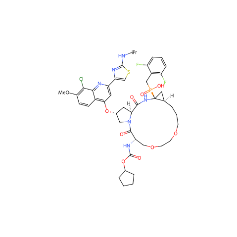 COc1ccc2c(O[C@@H]3C[C@H]4C(=O)N[C@]5(P(=O)(O)Cc6c(F)cccc6F)C[C@H]5CCCOCCOC[C@H](NC(=O)OC5CCCC5)C(=O)N4C3)cc(-c3csc(NC(C)C)n3)nc2c1Cl